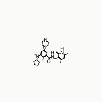 C=C1NC(C)=CC(C)=C1CNC(=O)c1cc(N2CCN(C)CC2)cc(N(C)C2CCCC2)c1C